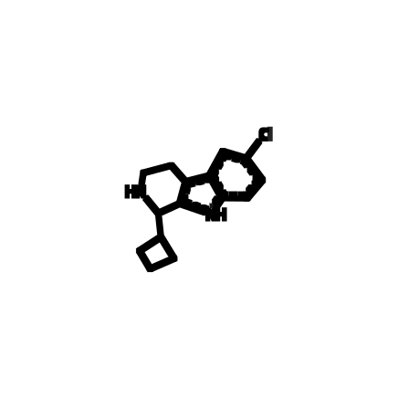 Clc1ccc2[nH]c3c(c2c1)CCNC3C1CCC1